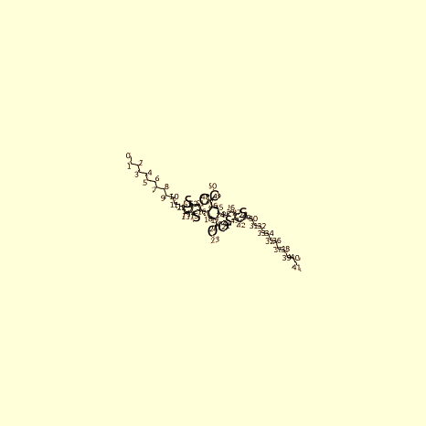 CCCCCCCCCCCCc1cc2sc(-c3cc(C(=O)OC)c(-c4cc5sc(CCCCCCCCCCCC)cc5s4)cc3C(=O)OC)cc2s1